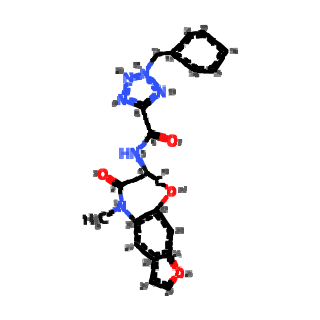 CN1C(=O)[C@@H](NC(=O)c2nnn(Cc3ccccc3)n2)COc2cc3occc3cc21